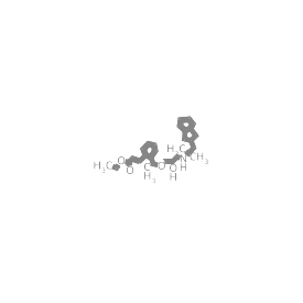 CCOC(=O)/C=C/c1ccccc1[C@@H](C)OC[C@H](O)CNC(C)(C)CC1Cc2ccccc2C1